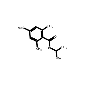 CSc1cc(C)c(C(=O)NC(C)C(C)(C)C)c(C)c1